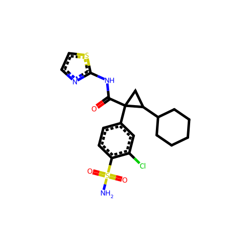 NS(=O)(=O)c1ccc(C2(C(=O)Nc3nccs3)CC2C2CCCCC2)cc1Cl